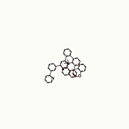 CC1(C)c2ccccc2C2(c3ccccc3Oc3ccccc32)c2cccc(-c3ccccc3-c3cc(-c4cccc(-c5ccccn5)c4)nc(-c4ccccc4)n3)c21